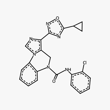 O=C(Nc1ccccc1Cl)N1Cc2c(-c3noc(C4CC4)n3)ncn2-c2ccccc21